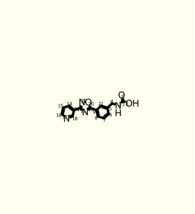 O=C(O)NCc1cccc(-c2nc(-c3cccnc3)no2)c1